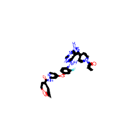 C=CC(=O)N1CCC(c2n[nH]c3ncnc(Nc4ccc(Oc5ccnc(NC(=O)C6CCOCC6)c5)cc4F)c23)CC1